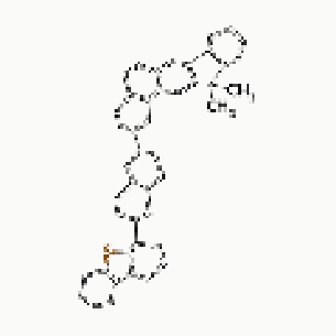 CC1(C)c2ccccc2-c2cc3ccc4ccc(-c5ccc6cc(-c7cccc8c7sc7ccccc78)ccc6c5)cc4c3cc21